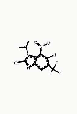 CC(C)n1c(Cl)nc2cc(C(F)(F)F)c(Cl)c([N+](=O)[O-])c21